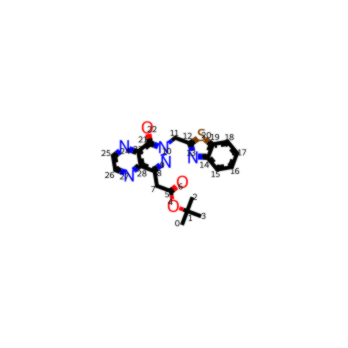 CC(C)(C)OC(=O)Cc1nn(Cc2nc3ccccc3s2)c(=O)c2nccnc12